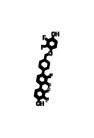 Oc1ccc(OCC2CC=C(c3ccc(-c4ccc(O)c(F)c4F)c(F)c3F)CC2)c(F)c1F